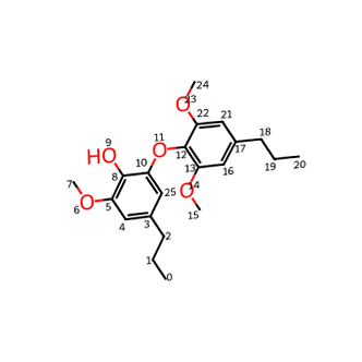 CCCc1cc(OC)c(O)c(Oc2c(OC)cc(CCC)cc2OC)c1